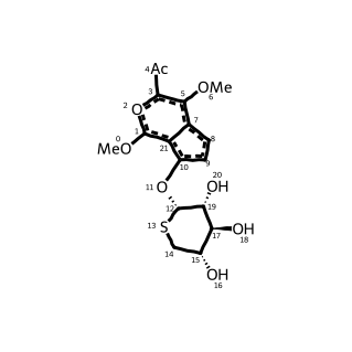 COc1oc(C(C)=O)c(OC)c2ccc(O[C@H]3SC[C@@H](O)[C@H](O)[C@H]3O)c1-2